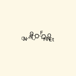 CCNC(=O)c1ccc(-c2ccc3c(c2)CCN(CCN2CCCC2)C3=O)c(F)c1